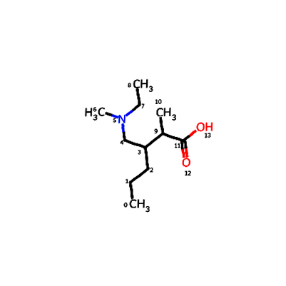 CCCC(CN(C)CC)C(C)C(=O)O